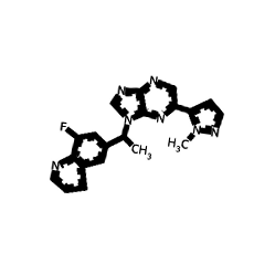 CC(c1cc(F)c2ncccc2c1)n1cnc2ncc(-c3ccnn3C)nc21